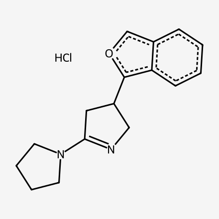 Cl.c1ccc2c(C3CN=C(N4CCCC4)C3)occ2c1